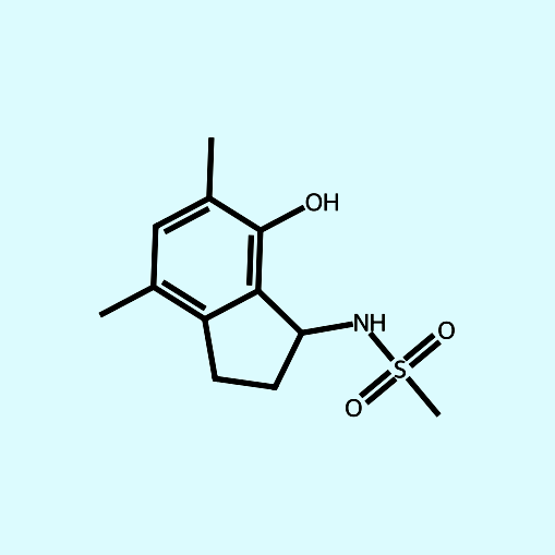 Cc1cc(C)c2c(c1O)C(NS(C)(=O)=O)CC2